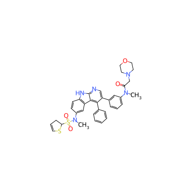 CN(C(=O)CN1CCOCC1)c1cccc(-c2cnc3[nH]c4ccc(N(C)S(=O)(=O)C5CC=CS5)cc4c3c2-c2ccccc2)c1